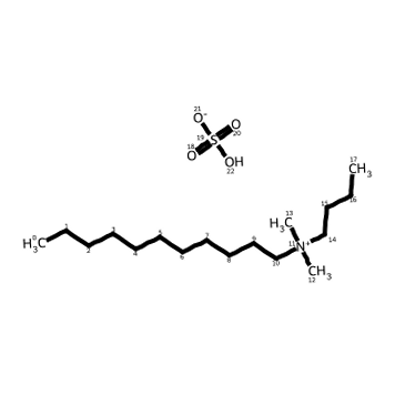 CCCCCCCCCCC[N+](C)(C)CCCC.O=S(=O)([O-])O